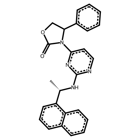 C[C@H](Nc1nccc(N2C(=O)OCC2c2ccccc2)n1)c1cccc2ccccc12